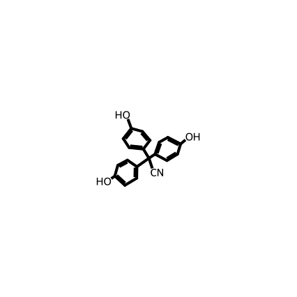 N#CC(c1ccc(O)cc1)(c1ccc(O)cc1)c1ccc(O)cc1